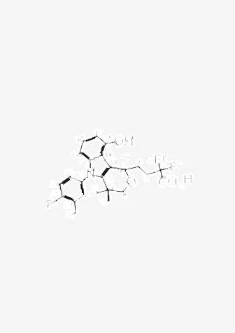 CCC(F)(CC[C@@]1(C)OCC(C)(C)c2c1c1c(O)cccc1n2-c1ccc(F)c(C)c1)C(=O)O